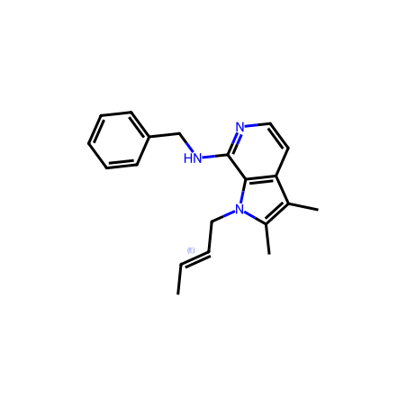 C/C=C/Cn1c(C)c(C)c2ccnc(NCc3ccccc3)c21